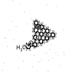 Cc1ccc2c(n1)oc1c(-c3ccc(C4=C(c5cc(-c6ccccc6-c6ccc(-c7ccccc7)nc6)cc(-c6ccccc6-c6ccc(-c7ccccc7)nc6)c5)CC(C)C=C4)cn3)cccc12